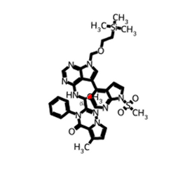 Cc1ccn2nc([C@H](C)Nc3ncnc4c3c(-c3ccnc5c3ccn5S(C)(=O)=O)cn4COCC[Si](C)(C)C)n(-c3ccccc3)c(=O)c12